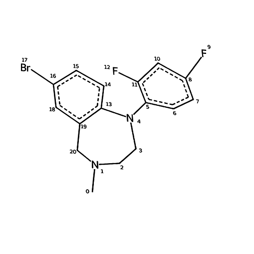 CN1CCN(c2ccc(F)cc2F)c2ccc(Br)cc2C1